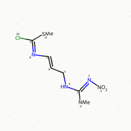 CNC(=N[N+](=O)[O-])NC/C=C/N=C(/Cl)SC